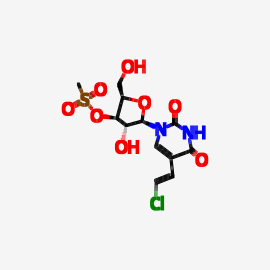 CS(=O)(=O)O[C@@H]1[C@@H](O)[C@H](n2cc(/C=C/Cl)c(=O)[nH]c2=O)O[C@@H]1CO